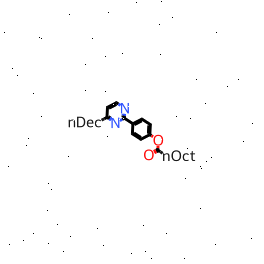 CCCCCCCCCCc1ccnc(-c2ccc(OC(=O)CCCCCCCC)cc2)n1